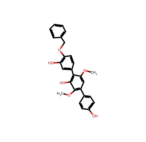 COc1cc(-c2ccc(O)cc2)c(OC)c(O)c1-c1ccc(OCc2ccccc2)c(O)c1